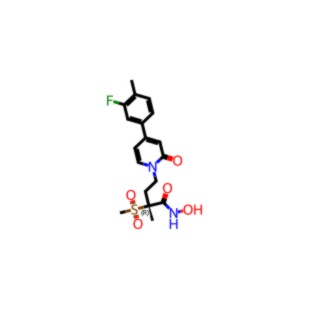 Cc1ccc(-c2ccn(CC[C@](C)(C(=O)NO)S(C)(=O)=O)c(=O)c2)cc1F